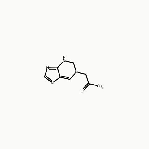 CC(=O)CN1C=C2N=CN=C2NC1